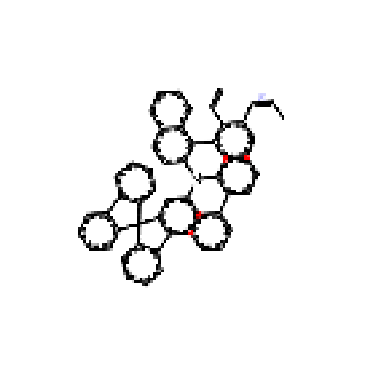 C=Cc1c(/C=C\C)cccc1-c1c(N(c2ccc3c(c2)C2(c4ccccc4-c4ccccc42)c2ccccc2-3)c2ccccc2-c2ccccc2)ccc2ccccc12